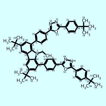 CCn1c2c(-c3ccc(-c4nnc(-c5ccc(C(C)(C)C)cc5)o4)cc3)cc(C(C)(C)C)cc2c2cc(C(C)(C)C)cc(-c3ccc(-c4nnc(-c5ccc(C(C)(C)C)cc5)o4)cc3)c21